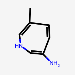 CC1=CNC=C(N)C=C1